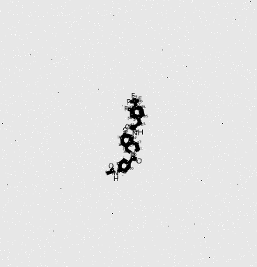 CC(=O)Nc1ccc(C(=O)N2CCc3c(ccc(Cl)c3NC(=O)Cc3ccc(C(F)(F)F)c(F)c3)C2)cc1